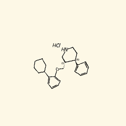 Cl.c1ccc([C@@H]2CCNC[C@H]2COc2ccccc2C2CCCCC2)cc1